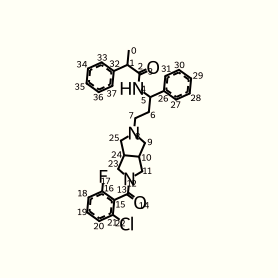 CC(C(=O)NC(CCN1CC2CN(C(=O)c3c(F)cccc3Cl)CC2C1)c1ccccc1)c1ccccc1